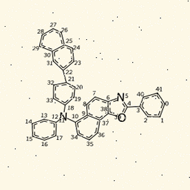 c1ccc(-c2nc3ccc4c(N(c5ccccc5)c5ccc(-c6ccc7ccccc7c6)cc5)cccc4c3o2)cc1